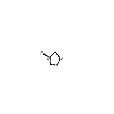 F[C@@H]1CCOC1